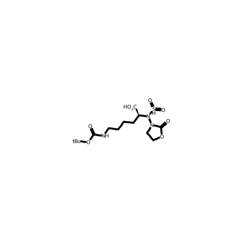 CC(C)(C)OC(=O)NCCCC[C@@H](C(=O)O)N(N1CCOC1=O)[SH](=O)=O